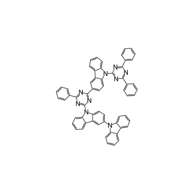 c1ccc(-c2nc(-c3ccccc3)nc(-n3c4ccccc4c4cc(-c5nc(-c6ccccc6)nc(-n6c7ccccc7c7cc(-n8c9ccccc9c9ccccc98)ccc76)n5)ccc43)n2)cc1